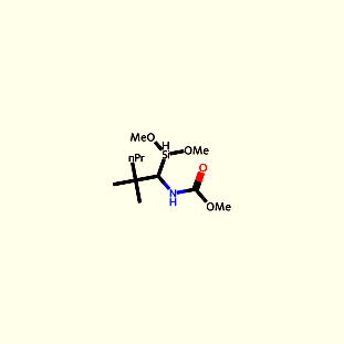 CCCC(C)(C)C(NC(=O)OC)[SiH](OC)OC